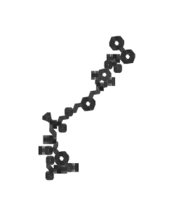 O=C1COc2c([C@@H](O)CNCCN(C(=O)CCOCCc3cccc(CCN4C[C@H]5C[C@H](OC(=O)Nc6ccccc6-c6ccccc6)C[C@H]5C4)c3)C3CC3)ccc(O)c2N1